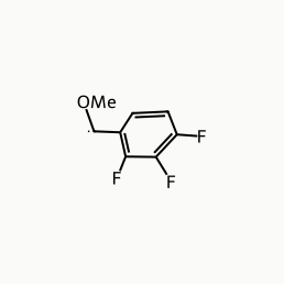 CO[CH]c1ccc(F)c(F)c1F